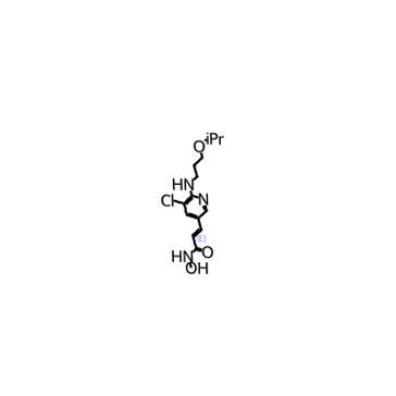 CC(C)OCCCNc1ncc(/C=C/C(=O)NO)cc1Cl